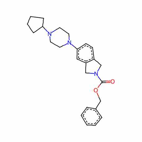 O=C(OCc1ccccc1)N1Cc2ccc(N3CCN(C4CCCC4)CC3)cc2C1